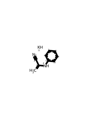 C=C(C#N)Nc1ccccc1.[KH]